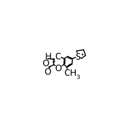 Cc1cc([S+]2CCCC2)cc(C)c1OC1CCOC1=O